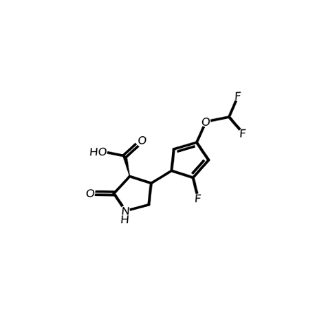 O=C(O)[C@@H]1C(=O)NCC1C1C=C(OC(F)F)C=C1F